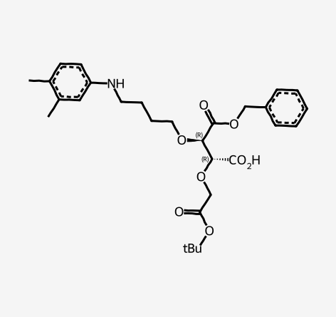 Cc1ccc(NCCCCO[C@@H](C(=O)OCc2ccccc2)[C@@H](OCC(=O)OC(C)(C)C)C(=O)O)cc1C